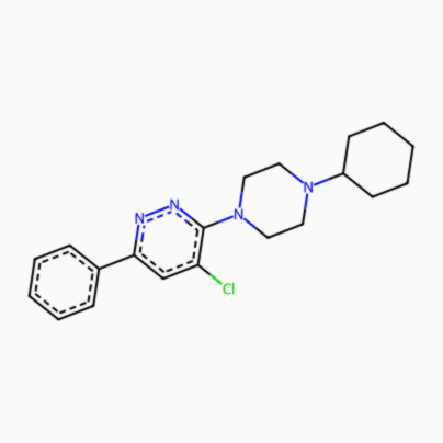 Clc1cc(-c2ccccc2)nnc1N1CCN(C2CCCCC2)CC1